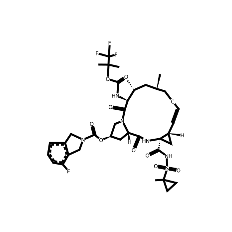 C[C@H]1CC/C=C\[C@@H]2C[C@@]2(C(=O)NS(=O)(=O)C2(C)CC2)NC(=O)[C@@H]2C[C@@H](OC(=O)N3Cc4cccc(F)c4C3)CN2C(=O)[C@@H](NC(=O)OC(C)(C)C(F)(F)F)[C@H](C)C1